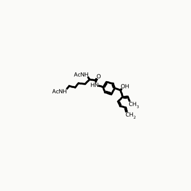 C=C/C=C\C(=C/C)C(O)c1ccc(NC(=O)C(CCCCNC(C)=O)NC(C)=O)cc1